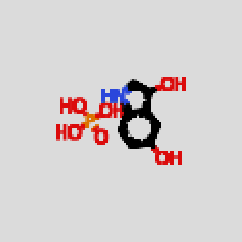 O=P(O)(O)O.Oc1ccc2[nH]cc(O)c2c1